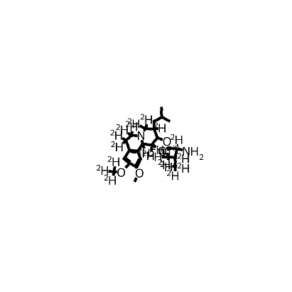 [2H]C([2H])([2H])Oc1cc2c(cc1OC)C1([2H])N(C([2H])([2H])C2([2H])[2H])C([2H])([2H])C([2H])(CC(C)C)C(OC(=O)[C@@]([2H])(N)C([2H])(C([2H])([2H])[2H])C([2H])([2H])[2H])C1([2H])[2H]